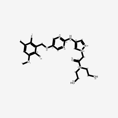 COc1cc(C)c(F)c(COc2cnc(Nc3cnn(CC(=O)N(CCO)CCO)c3)nc2)c1F